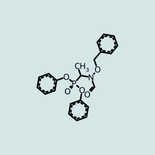 CC(N(C=O)OCc1ccccc1)P(=O)(Oc1ccccc1)Oc1ccccc1